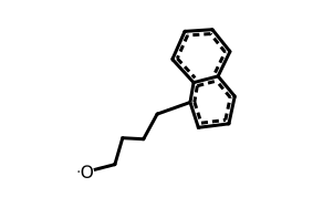 [O]CCCCc1cccc2ccccc12